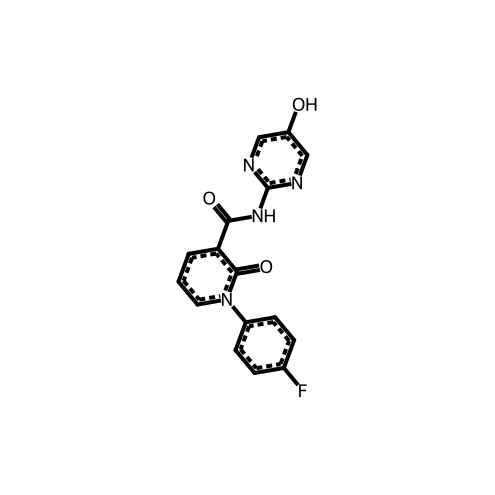 O=C(Nc1ncc(O)cn1)c1cccn(-c2ccc(F)cc2)c1=O